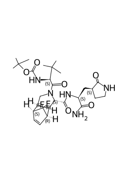 CC(C)(C)OC(=O)N[C@H](C(=O)N1C[C@H]2[C@@H]([C@H]1C(=O)N[C@@H](C[C@@H]1CCNC1=O)C(N)=O)[C@H]1C=C[C@@H]2C1(F)F)C(C)(C)C